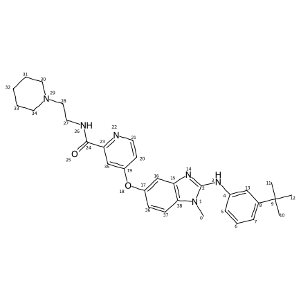 Cn1c(Nc2cccc(C(C)(C)C)c2)nc2cc(Oc3ccnc(C(=O)NCCN4CCCCC4)c3)ccc21